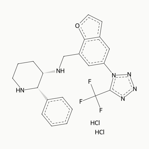 Cl.Cl.FC(F)(F)c1nnnn1-c1cc(CN[C@H]2CCCN[C@H]2c2ccccc2)c2occc2c1